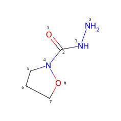 NNC(=O)N1CCCO1